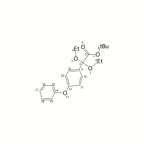 CCOC(OCC)(C(=O)OC(C)(C)C)c1ccc(Oc2ccccc2)cc1